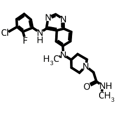 CNC(=O)CN1CCC(N(C)c2ccc3ncnc(Nc4cccc(Cl)c4F)c3c2)CC1